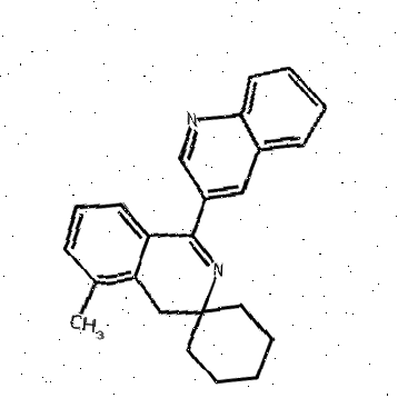 Cc1cccc2c1CC1(CCCCC1)N=C2c1cnc2ccccc2c1